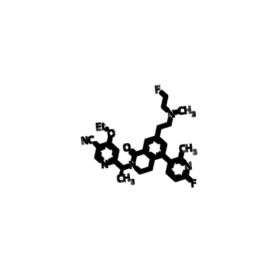 CCOc1cc([C@H](C)N2CCc3c(cc(CCN(C)CCF)cc3-c3ccc(F)nc3C)C2=O)ncc1C#N